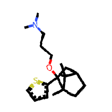 CN(C)CCCOC1(c2cccs2)CC2CCC1(C)C2(C)C